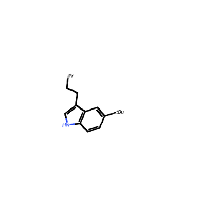 CC(C)CCc1c[nH]c2ccc(C(C)(C)C)cc12